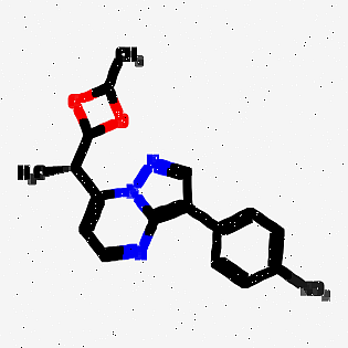 CC1OC([C@@H](C)c2ccnc3c(-c4ccc([N+](=O)[O-])cc4)cnn23)O1